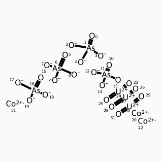 O=[As]([O-])([O-])[O-].O=[As]([O-])([O-])[O-].O=[As]([O-])([O-])[O-].O=[As]([O-])([O-])[O-].[Co+2].[Co+2].[Co+2].[O]=[U+2]=[O].[O]=[U+2]=[O].[O]=[U+2]=[O]